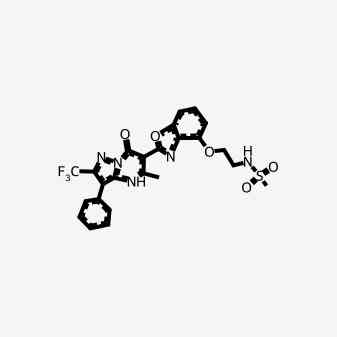 Cc1[nH]c2c(-c3ccccc3)c(C(F)(F)F)nn2c(=O)c1-c1nc2c(OCCNS(C)(=O)=O)cccc2o1